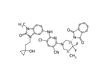 C[C@@H]1CN(c2nc(Nc3ccc4c(c3)n(CCC3(O)CC3)c(=O)n4C)c(Cl)cc2C#N)C[C@H](N2C(=O)c3ccccc3C2=O)C1(F)F